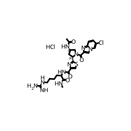 CNC(=O)C(CCCCNC(=N)N)NC(=O)c1csc([C@H]2C[C@@H](NC(C)=O)CN2C(=O)c2cn3cc(Cl)ccc3n2)n1.Cl